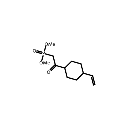 C=CC1CCC(C(=O)CP(=O)(OC)OC)CC1